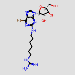 N=C(N)NCCCCCCNc1nc(S)c2ncn([C@@H]3O[C@H](CO)C(O)[C@@H]3O)c2n1